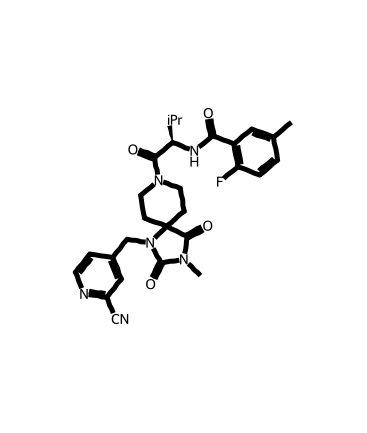 Cc1ccc(F)c(C(=O)N[C@@H](C(=O)N2CCC3(CC2)C(=O)N(C)C(=O)N3Cc2ccnc(C#N)c2)C(C)C)c1